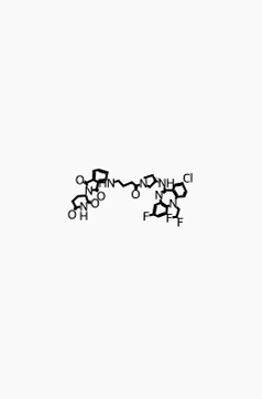 O=C1CCC(N2C(=O)c3cccc(NCCCC(=O)N4CC[C@H](NC5=Nc6cc(F)ccc6N(CC(F)F)c6ccc(Cl)cc65)C4)c3C2=O)C(=O)N1